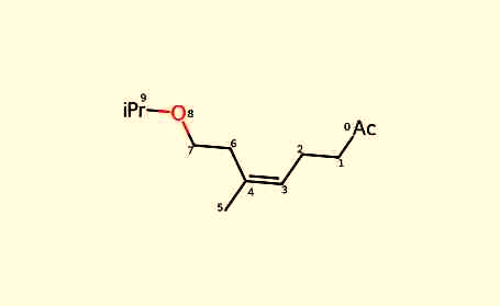 CC(=O)CCC=C(C)CCOC(C)C